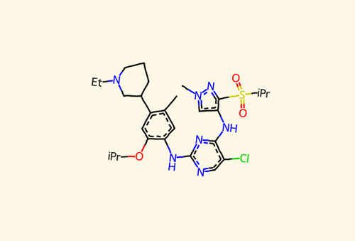 CCN1CCCC(c2cc(OC(C)C)c(Nc3ncc(Cl)c(Nc4cn(C)nc4S(=O)(=O)C(C)C)n3)cc2C)C1